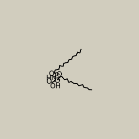 CCCCCCCCCCCCCC(=O)P(=O)(NCC(=O)O)C(=O)CCCCCCCCCCCCC